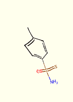 Cc1ccc(S(N)(=O)=S)cc1